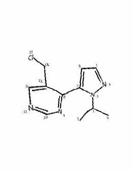 CC(C)n1nccc1-c1ncncc1CCl